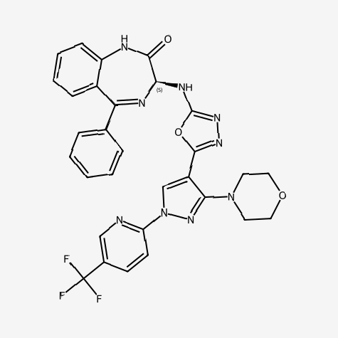 O=C1Nc2ccccc2C(c2ccccc2)=N[C@@H]1Nc1nnc(-c2cn(-c3ccc(C(F)(F)F)cn3)nc2N2CCOCC2)o1